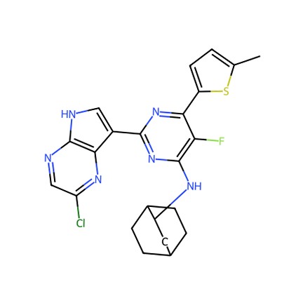 Cc1ccc(-c2nc(-c3c[nH]c4ncc(Cl)nc34)nc(NC3CC4CCC3CC4)c2F)s1